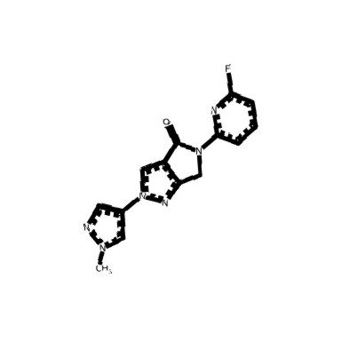 Cn1cc(-n2cc3c(n2)CN(c2cccc(F)n2)C3=O)cn1